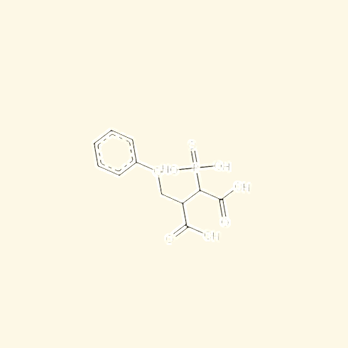 O=C(O)C(COc1ccccc1)C(C(=O)O)P(=O)(O)O